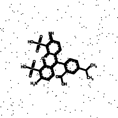 CC(C)c1ccc(-c2c3ccc(=N)c(S(=O)(=O)O)c-3oc3c(S(=O)(=O)O)c(N)ccc23)c(C(=O)O)c1